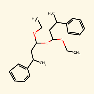 CCOC(CC(C)c1ccccc1)OC(CC(C)c1ccccc1)OCC